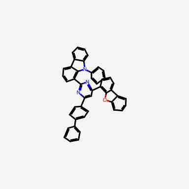 c1ccc(-c2ccc(-c3cc(-c4cccc5c4oc4ccccc45)nc(-c4cccc5c6ccccc6n(-c6ccccc6)c45)n3)cc2)cc1